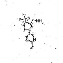 NCc1cc(-c2cnc(CF)nc2)ccc1C(F)(F)F